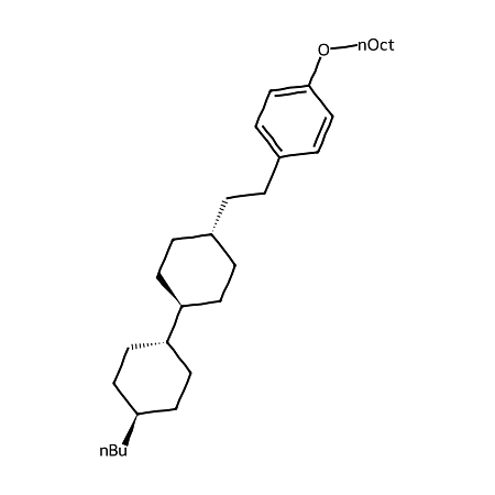 CCCCCCCCOc1ccc(CC[C@H]2CC[C@H]([C@H]3CC[C@H](CCCC)CC3)CC2)cc1